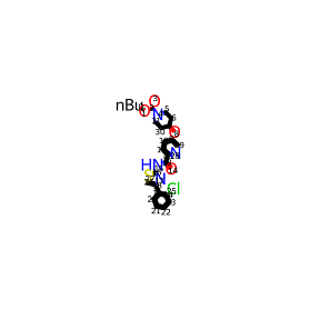 CCCCOC(=O)N1CCC(Oc2ccc(C(=O)Nc3nc(-c4ccccc4Cl)cs3)nc2)CC1